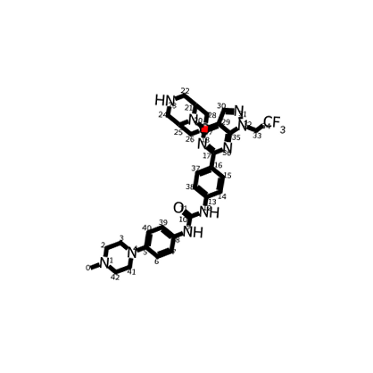 CN1CCN(c2ccc(NC(=O)Nc3ccc(-c4nc(N5C6CNCC5COC6)c5cnn(CC(F)(F)F)c5n4)cc3)cc2)CC1